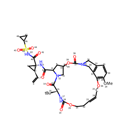 C=C[C@H]1C[C@@]1(NC(=O)C1C[C@@H]2CN1C(=O)[C@H](C(C)(C)C)NC(=O)OCC/C=C/COc1c(OC)ccc3c1CN(C3)C(=O)O2)C(=O)NS(=O)(=O)C1CC1